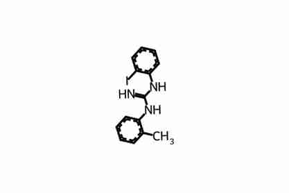 Cc1ccccc1NC(=N)Nc1ccccc1I